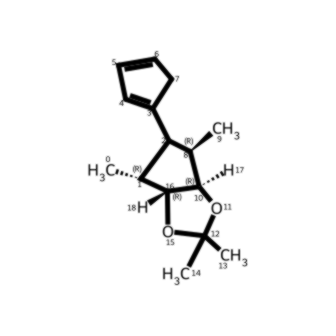 C[C@@H]1C(C2=CC=CC2)[C@@H](C)[C@H]2OC(C)(C)O[C@@H]21